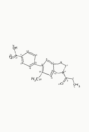 CCC(=O)N1CCc2cc(-c3ccc(C(=O)O)cc3)c(C)cc21